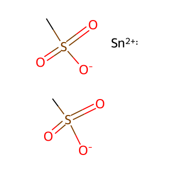 CS(=O)(=O)[O-].CS(=O)(=O)[O-].[Sn+2]